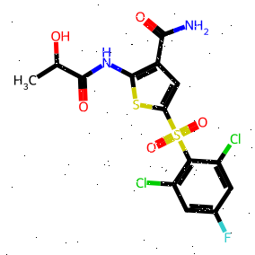 CC(O)C(=O)Nc1sc(S(=O)(=O)c2c(Cl)cc(F)cc2Cl)cc1C(N)=O